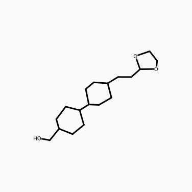 OCC1CCC(C2CCC(CCC3OCCO3)CC2)CC1